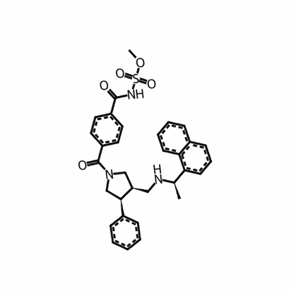 COS(=O)(=O)NC(=O)c1ccc(C(=O)N2C[C@@H](CN[C@H](C)c3cccc4ccccc34)[C@@H](c3ccccc3)C2)cc1